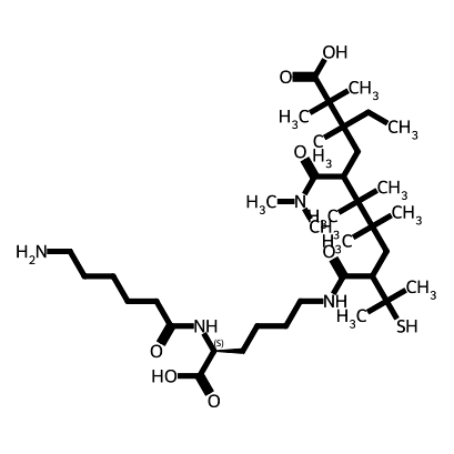 CCC(C)(CC(C(=O)N(C)C)C(C)(C)C(C)(C)CC(C(=O)NCCCC[C@H](NC(=O)CCCCCN)C(=O)O)C(C)(C)S)C(C)(C)C(=O)O